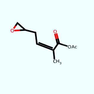 CC(=O)OC(=O)C(C)=CCC1CO1